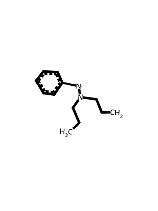 CCCN(CCC)[N]c1ccccc1